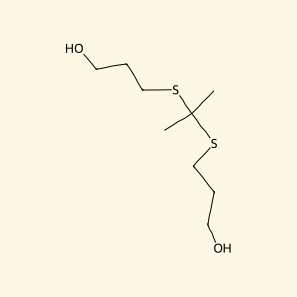 CC(C)(SCCCO)SCCCO